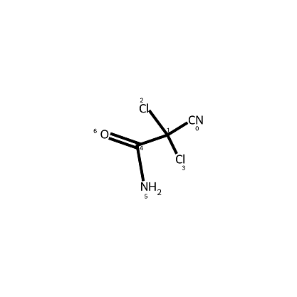 N#CC(Cl)(Cl)C(N)=O